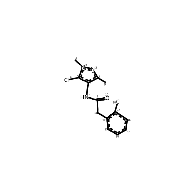 Cc1nn(C)c(Cl)c1NC(=O)Cc1ccccc1Cl